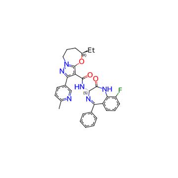 CC[C@@H]1CCCn2nc(-c3ccc(C)nc3)c(C(=O)N[C@H]3N=C(c4ccccc4)c4cccc(F)c4NC3=O)c2O1